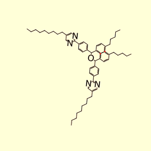 CCCCCCCCCc1cnc(-c2ccc(C(OC(c3ccc(CCCCC)cc3)c3ccc(-c4ncc(CCCCCCCCC)cn4)cc3)c3ccc(CCCCC)cc3)cc2)nc1